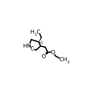 CCOC(=O)CC1CCNC[C@H]1CC